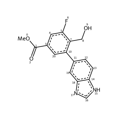 COC(=O)c1cc(F)c(CO)c(-c2ccc3[nH]cnc3c2)c1